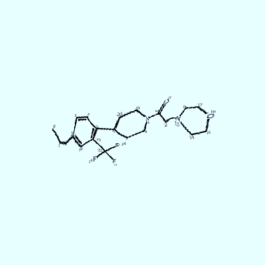 CCc1ccc(C2CCN(C(=O)CN3CCOCC3)CC2)c(C(F)(F)F)c1